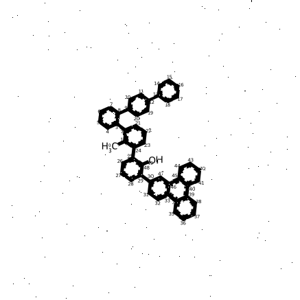 Cc1c(-c2ccccc2-c2ccc(-c3ccccc3)cc2)cccc1-c1cccc(-c2ccc3c4ccccc4c4ccccc4c3c2)c1O